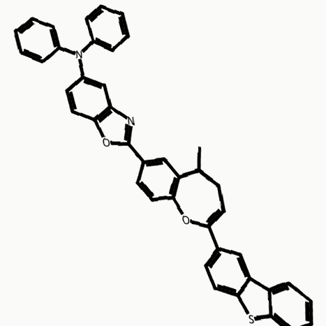 CC1CC=C(c2ccc3sc4ccccc4c3c2)Oc2ccc(-c3nc4cc(N(c5ccccc5)c5ccccc5)ccc4o3)cc21